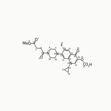 COC(=O)CCC(=O)N1CCN(c2cc3c(cc2F)c(=O)c(OC(=O)O)cn3C2CC2)CC1